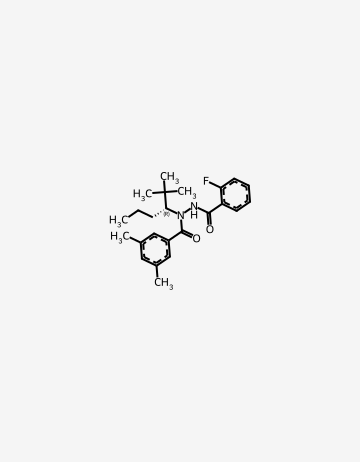 CCC[C@@H](N(NC(=O)c1ccccc1F)C(=O)c1cc(C)cc(C)c1)C(C)(C)C